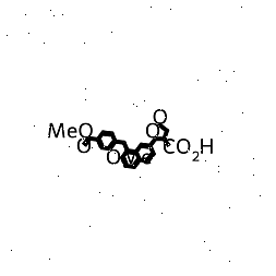 COC(=O)c1ccc(Cc2cccc3ccc(C4OC(=O)CC4C(=O)O)cc23)c(OC)c1